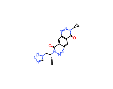 C#C[C@H](Cn1cnnn1)n1nnc2cc3c(=O)n(C4CC4)nnc3cc2c1=O